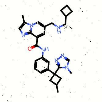 Cc1cnc2c(C(=O)Nc3cccc(C4(c5nncn5C)CC(C)C4)c3)cc(CN[C@@H](C)C3CCC3)cn12